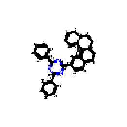 C1=CCC2CCc3ccc4ccc(-c5nc(-c6ccccc6)nc(-c6ccccc6)n5)cc4c3C2=C1